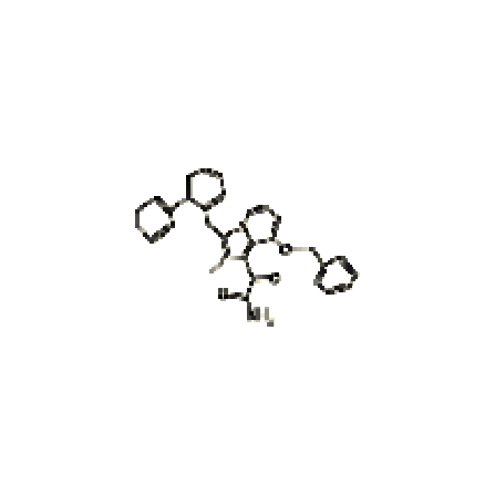 Cc1c(C(=O)C(N)=O)c2c(OCc3ccccc3)cccn2c1Cc1ccccc1-c1ccccc1